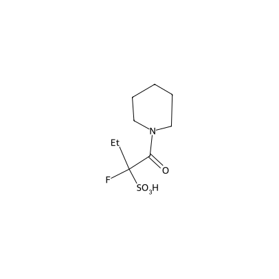 CCC(F)(C(=O)N1CCCCC1)S(=O)(=O)O